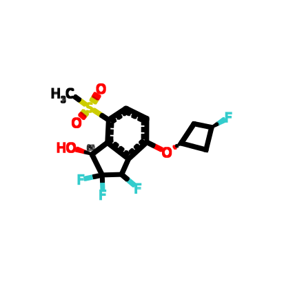 CS(=O)(=O)c1ccc(O[C@H]2C[C@H](F)C2)c2c1[C@H](O)C(F)(F)C2F